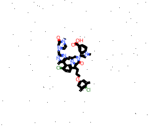 Cc1cc(OCCCc2c3n(c4c(-c5c(C)nc(CN6CCN(C)C(=O)C6)nc5C)c(Cl)ccc24)C(C)CN(c2cn(C)c4ccc(C(=O)O)cc24)C3=O)cc(C)c1Cl